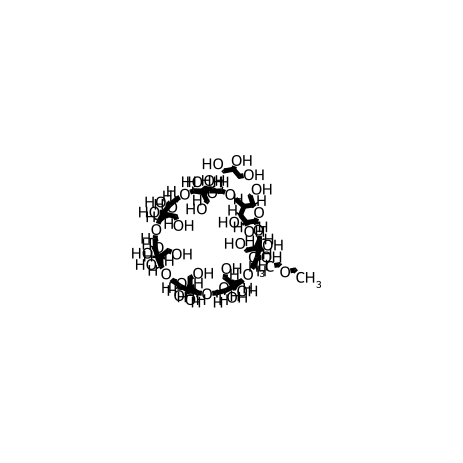 CCOCC.OCC(O)CO.OC[C@H]1O[C@@H]2O[C@H]3[C@H](O)[C@@H](O)[C@@H](O[C@H]4[C@H](O)[C@@H](O)[C@@H](O[C@H]5[C@H](O)[C@@H](O)[C@@H](O[C@H]6[C@H](O)[C@@H](O)[C@@H](O[C@H]7[C@H](O)[C@@H](O)[C@@H](O[C@H]8[C@H](O)[C@@H](O)[C@@H](O[C@H]1[C@H](O)[C@H]2O)O[C@@H]8CO)O[C@@H]7CO)O[C@@H]6CO)O[C@@H]5CO)O[C@@H]4CO)O[C@@H]3CO